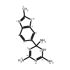 Cc1nc2ccc(C3(N)N=C(N)N=C(N)N3)cc2s1